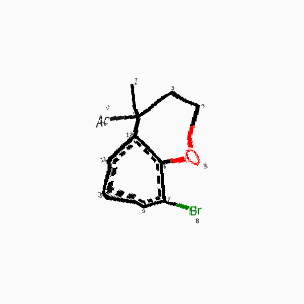 CC(=O)C1(C)CCOc2c(Br)cccc21